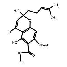 [2H]C1=CC(C)(CCC=C(C)C)Oc2cc(CCCCC)c(C(=O)NCCCC)c(O)c21